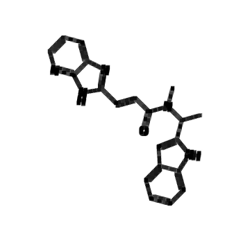 CC(c1cc2ccccc2[nH]1)N(C)C(=O)C=Cc1nc2cccnc2[nH]1